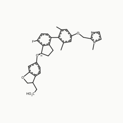 Cc1cc(OCc2nccn2C)cc(C)c1-c1ccc(F)c2c1CC[C@H]2Oc1ccc2c(c1)OCC2CC(=O)O